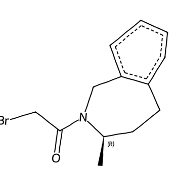 C[C@@H]1CCc2ccccc2CN1C(=O)CBr